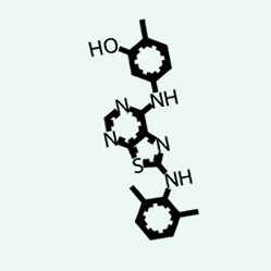 Cc1ccc(Nc2ncnc3sc(Nc4c(C)cccc4C)nc23)cc1O